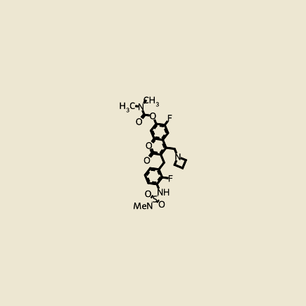 CNS(=O)(=O)Nc1cccc(Cc2c(CN3CCC3)c3cc(F)c(OC(=O)N(C)C)cc3oc2=O)c1F